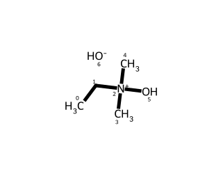 CC[N+](C)(C)O.[OH-]